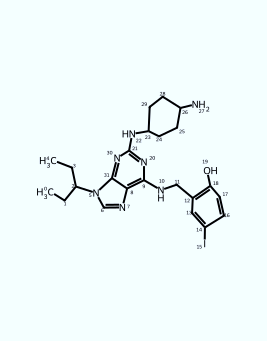 CCC(CC)n1cnc2c(NCc3cc(I)ccc3O)nc(NC3CCC(N)CC3)nc21